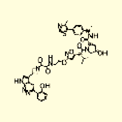 Cc1ncsc1-c1ccc([C@H](C)NC(=O)[C@@H]2C[C@@H](O)CN2C(=O)[C@@H](c2cc(OCCNC(=O)C(=O)N3CC(c4c[nH]c5nnc(-c6ccccc6O)cc45)C3)no2)C(C)C)cc1